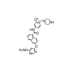 CC(=O)Nc1cc(Oc2ccc3c(C(=O)Nc4ccc(CN5CCNCC5)c(C(F)(F)F)c4)cccc3c2)ncn1